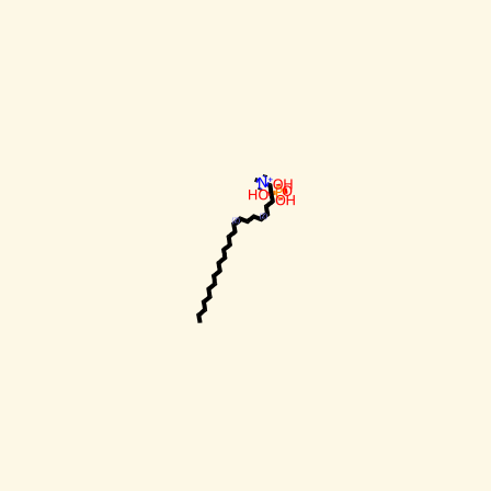 CCCCCCCCCCCCCCC/C=C\CC/C=C\CCC(O)(C[N+](C)(C)C)P(=O)(O)O